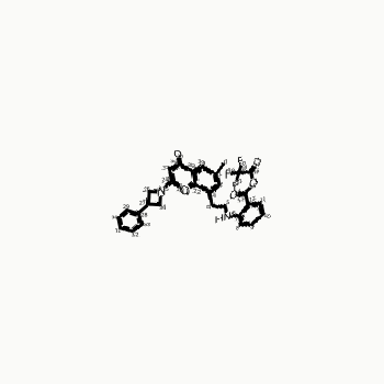 Cc1cc(CCNc2ccccc2C(=O)OC(=O)C(F)(F)F)c2oc(N3CC(c4ccccc4)C3)cc(=O)c2c1